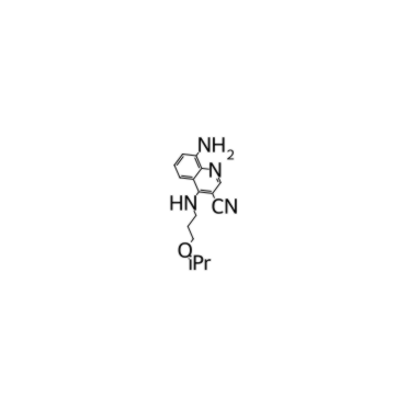 CC(C)OCCCNc1c(C#N)cnc2c(N)cccc12